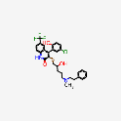 CN(CCCC(O)CSc1c(-c2cc(Cl)ccc2O)c2cc(C(F)(F)F)ccc2[nH]c1=O)CCc1ccccc1